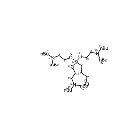 CCCCN(CCCC)CCO[Si](CCCCl)(OCCN(CCCC)CCCC)OCCN(CCCC)CCCC